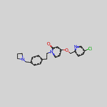 O=c1cc(OCc2ccc(Cl)cn2)ccn1CCc1ccc(CN2CCC2)cc1